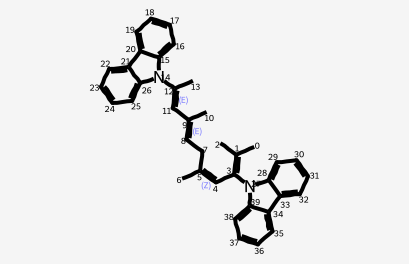 CC(C)=C(/C=C(/C)C/C=C(C)/C=C(\C)n1c2ccccc2c2ccccc21)n1c2ccccc2c2ccccc21